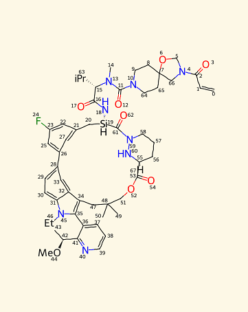 C=CC(=O)N1COC2(CCN(C(=O)N(C)[C@H](C(=O)N[Si@H]3Cc4cc(F)cc(c4)-c4ccc5c(c4)c(c(-c4cccnc4[C@H](C)OC)n5CC)CC(C)(C)COC(=O)[C@@H]4CCCN(N4)C3=O)C(C)C)CC2)C1